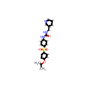 CC(C)Oc1ccc(S(=O)(=O)c2ccc(NC(=O)NCc3cccnc3)cc2)cc1